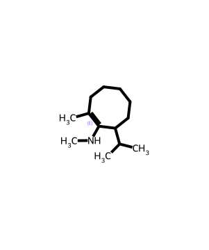 CN/C1=C(\C)CCCCCC1C(C)C